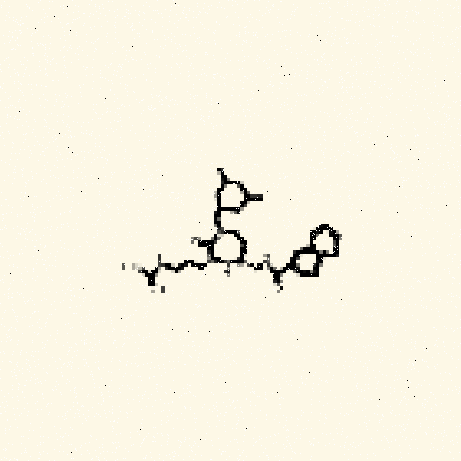 CC1CC(C)CC(CN2CC[C@@H](CNC(=O)c3ccc4ccccc4c3)N[C@@H](CCCNC(=N)N)C2=O)C1